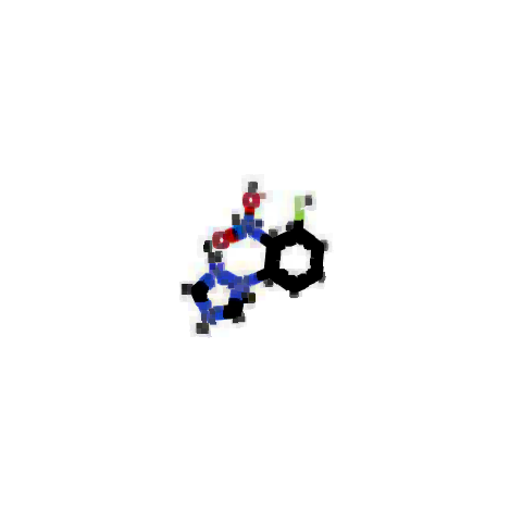 O=[N+]([O-])c1c(F)cccc1-n1cncn1